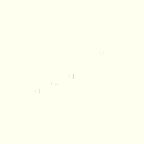 C1CCOC1.[Cl][Co][Cl]